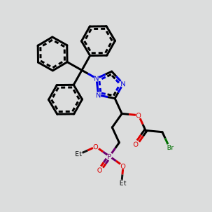 CCOP(=O)(CCC(OC(=O)CBr)c1ncn(C(c2ccccc2)(c2ccccc2)c2ccccc2)n1)OCC